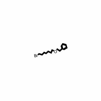 BrCCCCCCCOCCc1ccccc1